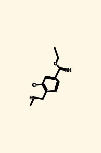 CCOC(=N)c1ccc(CNC)c(Cl)c1